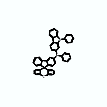 c1ccc(N(c2ccc3c(c2)-c2ccccc2C32c3ccccc3Oc3ccccc32)c2ccc3c4ccccc4n(-c4ccccc4)c3c2)cc1